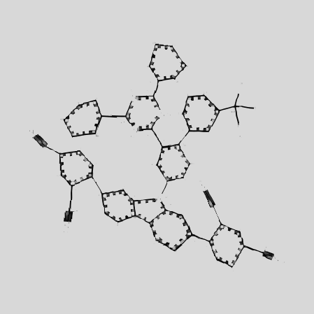 N#Cc1ccc(-c2ccc3c4ccc(-c5ccc(C#N)cc5C#N)cc4n(-c4ccc(-c5cccc(C(F)(F)F)c5)c(-c5nc(-c6ccccc6)nc(-c6ccccc6)n5)c4)c3c2)c(C#N)c1